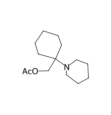 CC(=O)OCC1(N2CCCCC2)CCCCC1